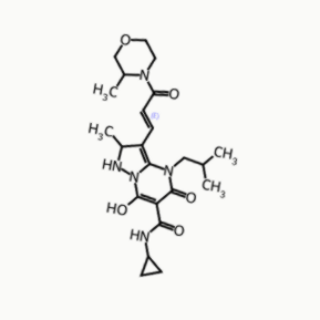 CC(C)CN1C(=O)C(C(=O)NC2CC2)=C(O)N2NC(C)C(/C=C/C(=O)N3CCOCC3C)=C12